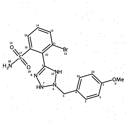 COc1ccc(CN2NN=C(c3c(Br)cccc3S(N)(=O)=O)N2)cc1